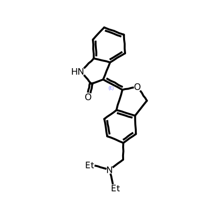 CCN(CC)Cc1ccc2c(c1)CO/C2=C1/C(=O)Nc2ccccc21